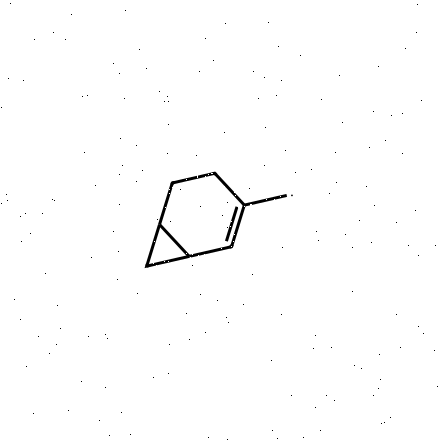 [CH2]C1=CC2CC2CC1